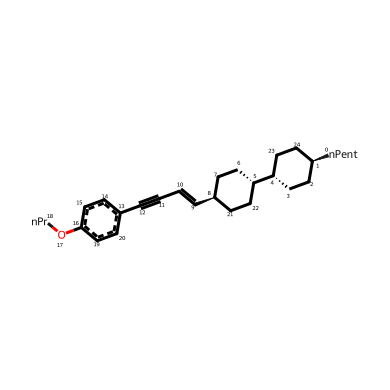 CCCCC[C@H]1CC[C@H]([C@H]2CC[C@H](C=CC#Cc3ccc(OCCC)cc3)CC2)CC1